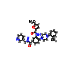 Cc1ccc(C(=O)Nc2cc(C(=O)NCc3cccnc3)ccc2N2CCN(c3ccccc3C)CC2)o1